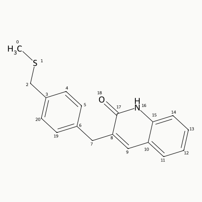 CSCc1ccc(Cc2cc3ccccc3[nH]c2=O)cc1